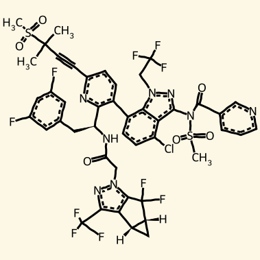 CC(C)(C#Cc1ccc(-c2ccc(Cl)c3c(N(C(=O)c4cccnc4)S(C)(=O)=O)nn(CC(F)(F)F)c23)c([C@H](Cc2cc(F)cc(F)c2)NC(=O)Cn2nc(C(F)(F)F)c3c2C(F)(F)[C@@H]2C[C@H]32)n1)S(C)(=O)=O